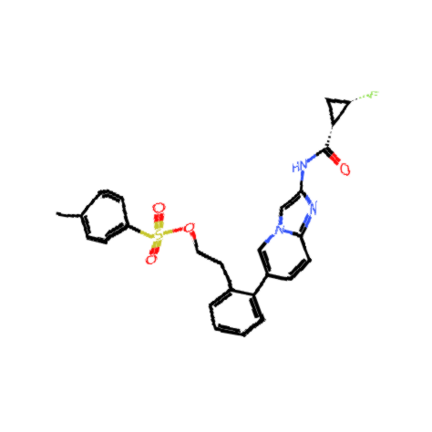 Cc1ccc(S(=O)(=O)OCCc2ccccc2-c2ccc3nc(NC(=O)[C@@H]4C[C@@H]4F)cn3c2)cc1